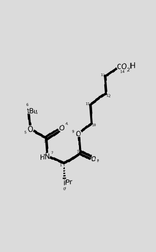 CC(C)[C@H](NC(=O)OC(C)(C)C)C(=O)OCCCCC(=O)O